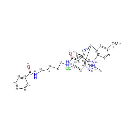 COc1ccc2c(c1)C1=N[C@@H](CC(=O)NCCCCCNC(=O)c3ccccc3)C3NN(c4cc(Cl)ccc41)C(C)N23